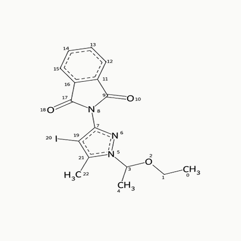 CCOC(C)n1nc(N2C(=O)c3ccccc3C2=O)c(I)c1C